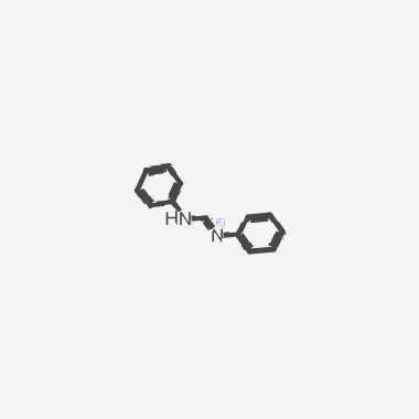 [C](=N\c1ccccc1)/Nc1ccccc1